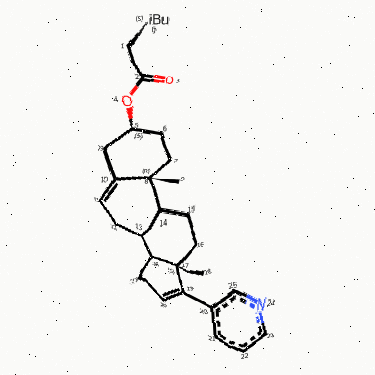 CC[C@H](C)CC(=O)O[C@H]1CC[C@@]2(C)C(=CCC3C2CC[C@]2(C)C(c4cccnc4)=CCC32)C1